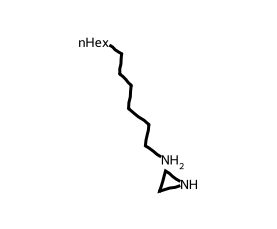 C1CN1.CCCCCCCCCCCCN